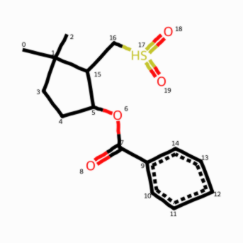 CC1(C)CCC(OC(=O)c2ccccc2)C1C[SH](=O)=O